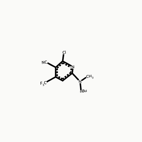 CCCCN(C)c1cc(C(F)(F)F)c(C#N)c(Cl)n1